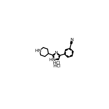 Cl.Cl.N#Cc1cccc(-c2c[nH]c(C3CCNCC3)n2)c1